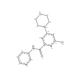 O=C(Nc1cccnc1)c1nc(Cl)cc(N2CCOCC2)n1